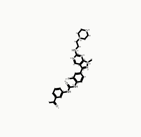 CC(=O)c1cccc(NC(=O)Nc2ccc(-c3nn(C)c4nc(NCCN5CCOCC5)ncc34)cc2F)c1